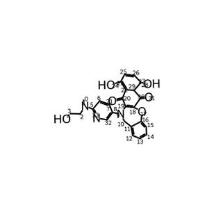 CN(CCO)c1ccc(N2Cc3ccccc3OC3=C2C(=O)C2=C(O)C=CC(O)C2C3=O)cn1